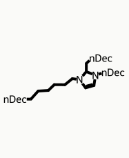 CCCCCCCCCCCCCCCCN1C=CN(CCCCCCCCCC)C1CCCCCCCCCCC